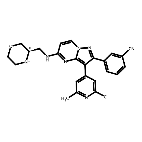 Cc1cc(-c2c(-c3cccc(C#N)c3)nn3ccc(NC[C@@H]4COCCN4)nc23)cc(Cl)n1